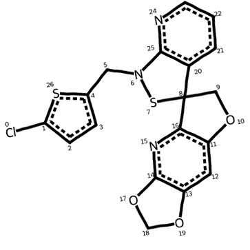 Clc1ccc(CN2SC3(COc4cc5c(nc43)OCO5)c3cccnc32)s1